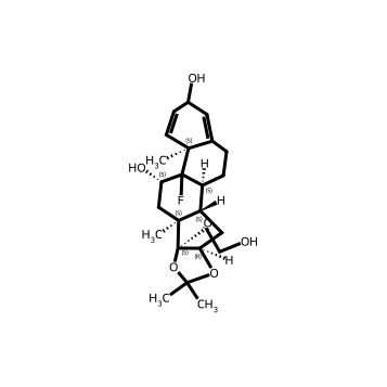 CC1(C)O[C@@H]2C[C@H]3[C@@H]4CCC5=CC(O)C=C[C@]5(C)C4(F)[C@@H](O)C[C@]3(C)[C@]2(C(=O)CO)O1